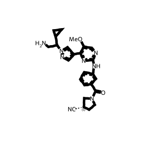 COc1cnc(Nc2cccc(C(=O)N3CC[C@H](C#N)C3)c2)nc1-c1cnn(C(CN)C2CC2)c1